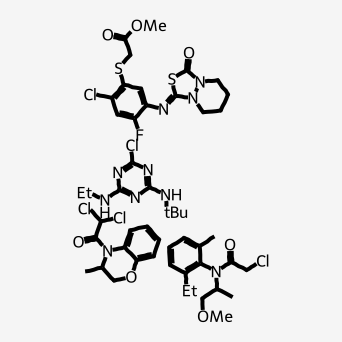 CC1COc2ccccc2N1C(=O)C(Cl)Cl.CCNc1nc(Cl)nc(NC(C)(C)C)n1.CCc1cccc(C)c1N(C(=O)CCl)C(C)COC.COC(=O)CSc1cc(/N=c2\sc(=O)n3n2CCCC3)c(F)cc1Cl